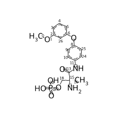 COc1cccc(Oc2ccc(NC(=O)[C@@](C)(N)COP(=O)(O)O)cc2)c1